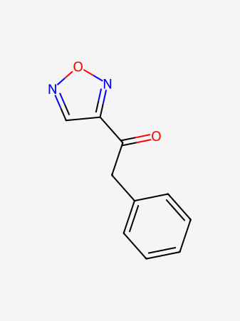 O=C(Cc1ccccc1)c1cnon1